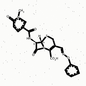 Cn1cc(C(=O)N[C@@H]2C(=O)N3C(C(=O)O)=C(C=NOc4ccccc4)CS[C@@H]23)ccc1=O